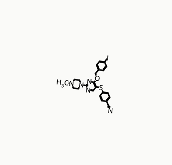 CN1CCN(c2ncc(Sc3ccc(C#N)cc3)c(OCc3ccc(I)cc3)n2)CC1